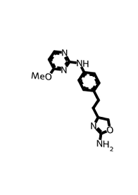 COc1ccnc(Nc2ccc(CCC3COC(N)=N3)cc2)n1